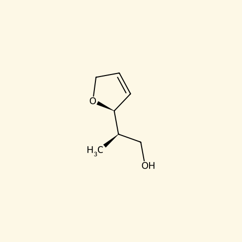 C[C@H](CO)[C@@H]1C=CCO1